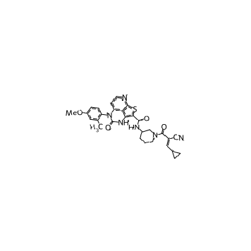 COc1ccc(N2C(=O)Nc3c(C(=O)NC4CCCN(C(=O)C(C#N)=CC5CC5)C4)sc4nccc2c34)c(C)c1